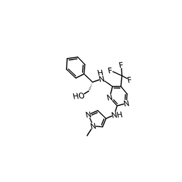 Cn1cc(Nc2ncc(C(F)(F)F)c(N[C@H](CO)c3ccccc3)n2)cn1